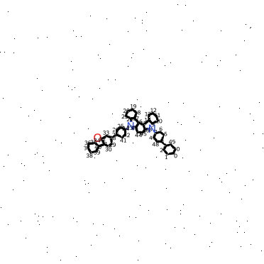 c1ccc(-c2ccc(-n3c4ccccc4c4c5c6ccccc6n(-c6ccc(-c7ccc8c(c7)oc7ccccc78)cc6)c5ccc43)cc2)cc1